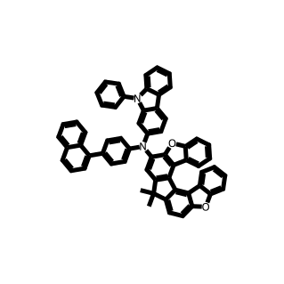 CC1(C)c2ccc3oc4ccccc4c3c2-c2c1cc(N(c1ccc(-c3cccc4ccccc34)cc1)c1ccc3c4ccccc4n(-c4ccccc4)c3c1)c1oc3ccccc3c21